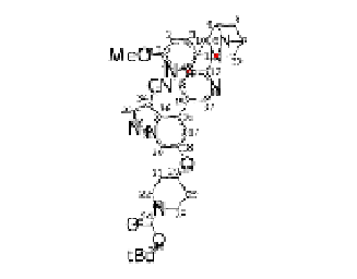 COc1ccc(CN2C3CC2CN(c2ccc(-c4cc(OC5CCN(C(=O)OC(C)(C)C)CC5)cn5ncc(C#N)c45)cn2)C3)cn1